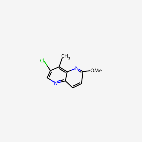 COc1ccc2ncc(Cl)c(C)c2n1